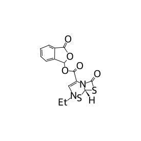 CCN1C=C(C(=O)OC2OC(=O)c3ccccc32)N2C(=O)S[C@@H]2S1